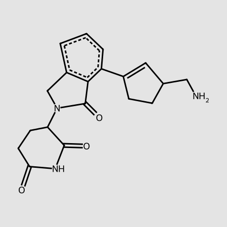 NCC1C=C(c2cccc3c2C(=O)N(C2CCC(=O)NC2=O)C3)CC1